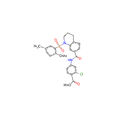 COC(=O)c1ccc(NC(=O)c2ccc3c(c2)N(S(=O)(=O)c2cc(C)ccc2OC)CCC3)cc1Cl